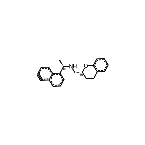 C[C@@H](NC[C@H]1CCc2ccccc2O1)c1cccc2c#cccc12